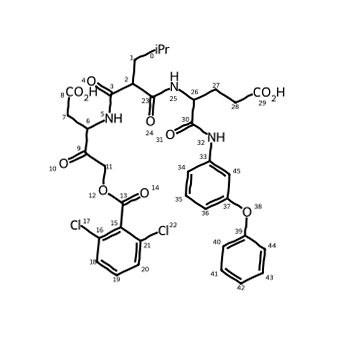 CC(C)CC(C(=O)NC(CC(=O)O)C(=O)COC(=O)c1c(Cl)cccc1Cl)C(=O)NC(CCC(=O)O)C(=O)Nc1cccc(Oc2ccccc2)c1